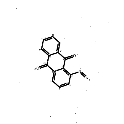 [N]=Nc1cccc2c1C(=O)c1ccccc1C2=O